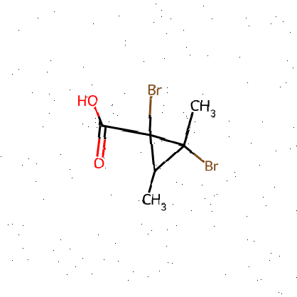 CC1C(C)(Br)C1(Br)C(=O)O